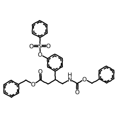 O=C(CC(CNC(=O)OCc1ccccc1)c1cccc(OS(=O)(=O)c2ccccc2)c1)OCc1ccccc1